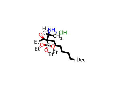 CCCCCCCCCCCCCCCCC(C(=O)CC)(C(C)(C)N)[Si](OCC)(OCC)OCC.Cl